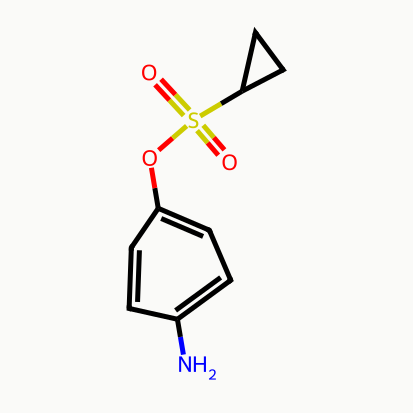 Nc1ccc(OS(=O)(=O)C2CC2)cc1